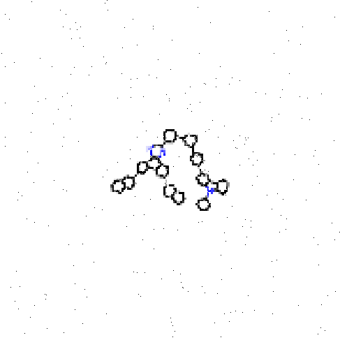 c1ccc(-n2c3ccccc3c3cc(-c4ccc(-c5cccc(-c6cccc(-c7cnc8c9ccc(-c%10ccc%11ccccc%11c%10)cc9c9cc(-c%10ccc%11ccccc%11c%10)ccc9c8n7)c6)c5)cc4)ccc32)cc1